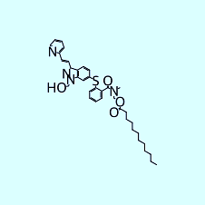 CCCCCCCCCCCC(=O)OCN(C)C(=O)c1ccccc1Sc1ccc2c(/C=C/c3ccccn3)nn(CO)c2c1